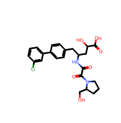 O=C(NC(Cc1ccc(-c2cccc(Cl)c2)cc1)CC(O)C(=O)O)C(=O)N1CCCC1CO